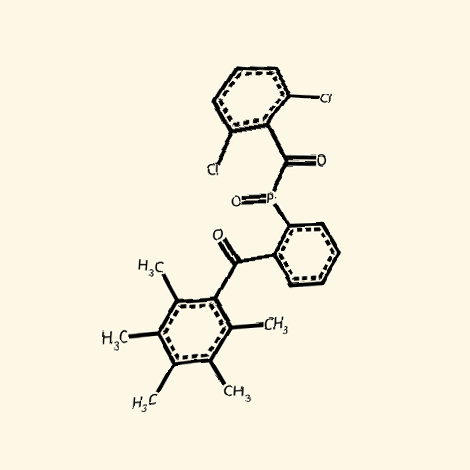 Cc1c(C)c(C)c(C(=O)c2ccccc2[P](=O)C(=O)c2c(Cl)cccc2Cl)c(C)c1C